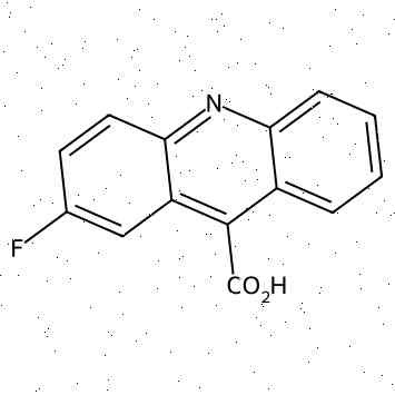 O=C(O)c1c2ccccc2nc2ccc(F)cc12